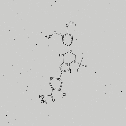 CNC(=O)c1ccc(-c2cc3n(n2)[C@@H](C(F)(F)F)C[C@@H](c2ccc(OC)c(OC)c2)N3)cc1Cl